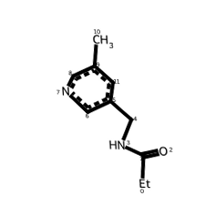 CCC(=O)NCc1cncc(C)c1